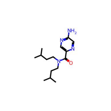 CC(C)CCN(CCC(C)C)C(=O)c1cnc(N)cn1